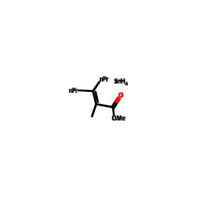 CCCC(CCC)=C(C)C(=O)OC.[SnH4]